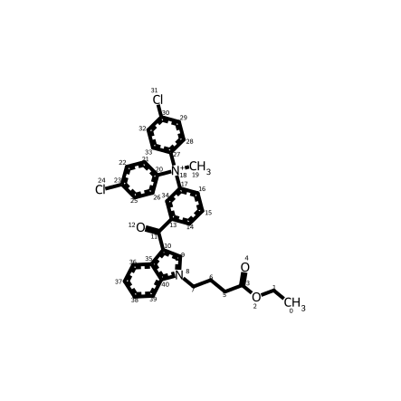 CCOC(=O)CCCn1cc(C(=O)c2cccc([N+](C)(c3ccc(Cl)cc3)c3ccc(Cl)cc3)c2)c2ccccc21